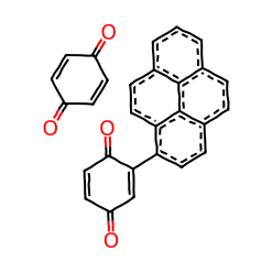 O=C1C=CC(=O)C(c2ccc3ccc4cccc5ccc2c3c45)=C1.O=C1C=CC(=O)C=C1